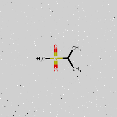 [CH2]S(=O)(=O)[C](C)C